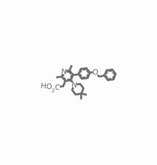 Cc1nc(C)c(-c2ccc(OCc3ccccc3)cc2)c(N2CCC(C)(C)CC2)c1CC(=O)O